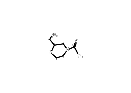 NCC1CN(C(=O)C(F)(F)F)CCO1